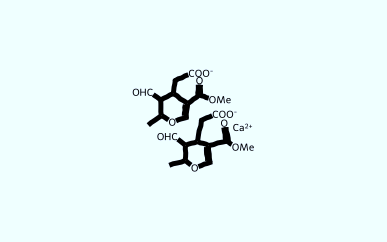 COC(=O)C1=COC(C)C(C=O)C1CC(=O)[O-].COC(=O)C1=COC(C)C(C=O)C1CC(=O)[O-].[Ca+2]